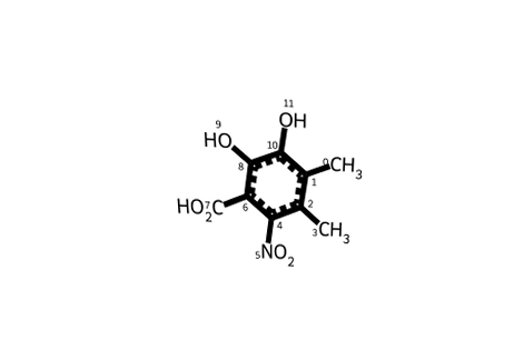 Cc1c(C)c([N+](=O)[O-])c(C(=O)O)c(O)c1O